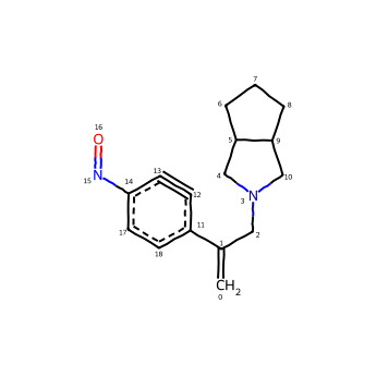 C=C(CN1CC2CCCC2C1)c1c#cc(N=O)cc1